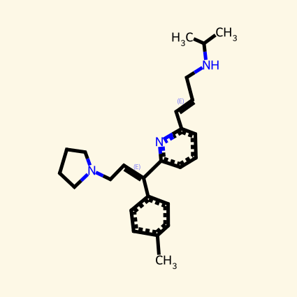 Cc1ccc(/C(=C\CN2CCCC2)c2cccc(/C=C/CNC(C)C)n2)cc1